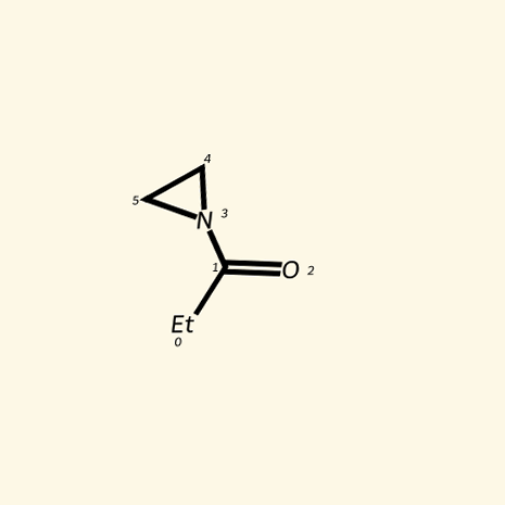 CCC(=O)N1CC1